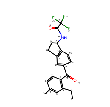 CCc1cc(C)ccc1C(=O)c1ccc2c(c1)CCC2NC(=O)C(F)(F)F